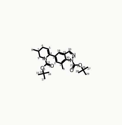 Cc1cc(C2=CCC(C)CN2C(=O)OC(C)(C)C)cc2cnn(C(=O)OC(C)(C)C)c12